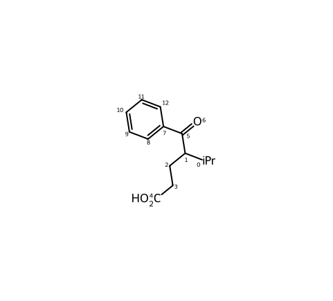 CC(C)C(CCC(=O)O)C(=O)c1ccccc1